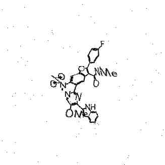 CNC(=O)c1c(-c2ccc(F)cc2)oc2cc(N(C)S(C)(=O)=O)c(-c3ncc(OC)c(-c4cc5ccccc5[nH]4)n3)cc12